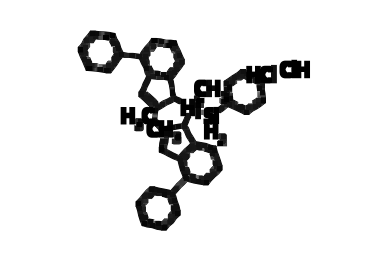 CC1=Cc2c(-c3ccccc3)cccc2[CH]1[Hf]([CH3])([SiH2]c1ccccc1)[CH]1C(C)=Cc2c(-c3ccccc3)cccc21.Cl.Cl